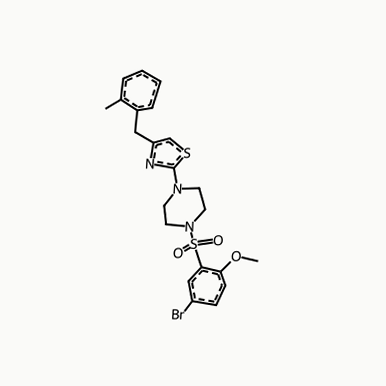 COc1ccc(Br)cc1S(=O)(=O)N1CCN(c2nc(Cc3ccccc3C)cs2)CC1